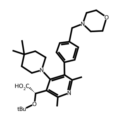 Cc1nc(C)c([C@H](OC(C)(C)C)C(=O)O)c(N2CCC(C)(C)CC2)c1-c1ccc(CN2CCOCC2)cc1